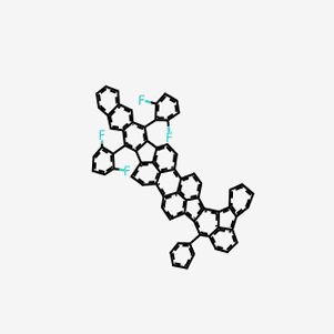 Fc1cccc(F)c1-c1c2c(c(-c3c(F)cccc3F)c3cc4ccccc4cc13)-c1ccc3c4ccc5c6c(ccc(c7ccc-2c1c73)c46)c1c(-c2ccccc2)c2cccc3c4ccccc4c(c23)c51